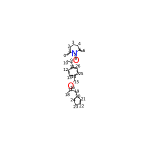 C=C1CCCC(=C)N1OC(C)c1ccc(COC(C)CC2C=CCC2)cc1